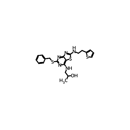 CC(O)CNc1nc(SCc2ccccc2)nc2nc(NCCc3cccs3)sc12